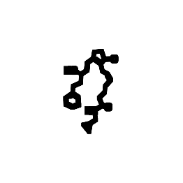 O=C(CCC/C=C\CC1=C(/C=C/[C@@H](O)CCc2ccccc2)CCC1=O)NCC1CC1